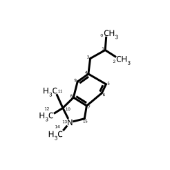 CC(C)Cc1ccc2c(c1)C(C)(C)N(C)C2